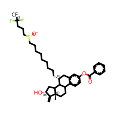 C=C1[C@H](O)CC2C3C(CC[C@]12C)c1ccc(OC(=O)c2ccccc2)cc1C[C@H]3CCCCCCCCC[S+]([O-])CCCC(F)(F)C(F)(F)F